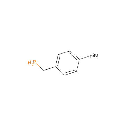 CCCCc1ccc(CP)cc1